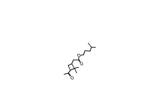 CC(=O)C1CC(CC(=O)OCCCC(C)C)C1(C)C